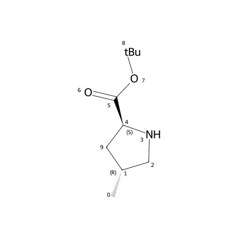 C[C@H]1CN[C@H](C(=O)OC(C)(C)C)C1